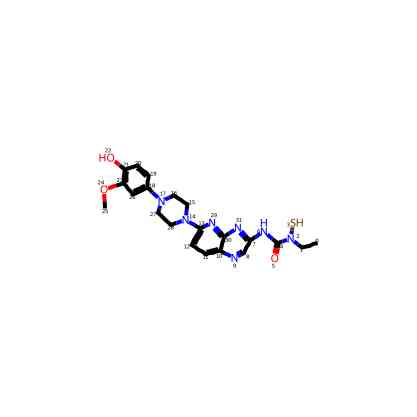 CCN(S)C(=O)Nc1cnc2ccc(N3CCN(c4ccc(O)c(OC)c4)CC3)nc2n1